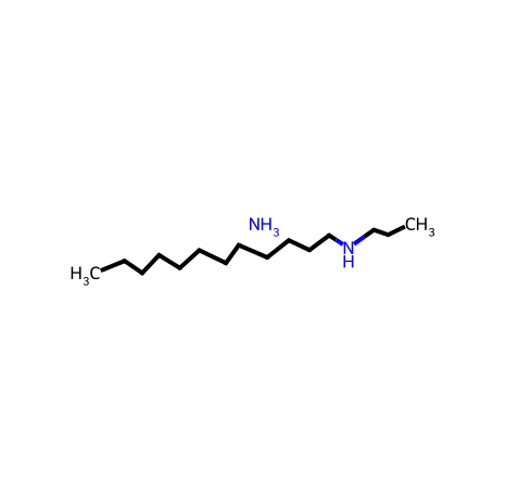 CCCCCCCCCCCCNCCC.N